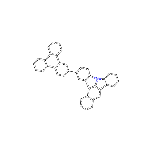 c1ccc2c(c1)cc1c3ccccc3n3c4ccc(-c5ccc6c7ccccc7c7ccccc7c6c5)cc4c2c13